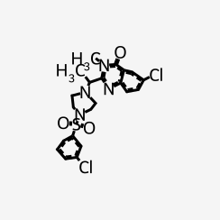 CC(c1nc2ccc(Cl)cc2c(=O)n1C)N1CCN(S(=O)(=O)c2cccc(Cl)c2)CC1